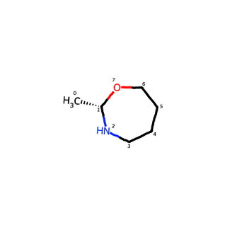 C[C@H]1NCCCCO1